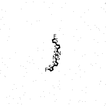 Fc1ccc(-c2ccc(-c3nc4sc(-c5ccc(-c6ccc(F)s6)s5)nc4s3)s2)s1